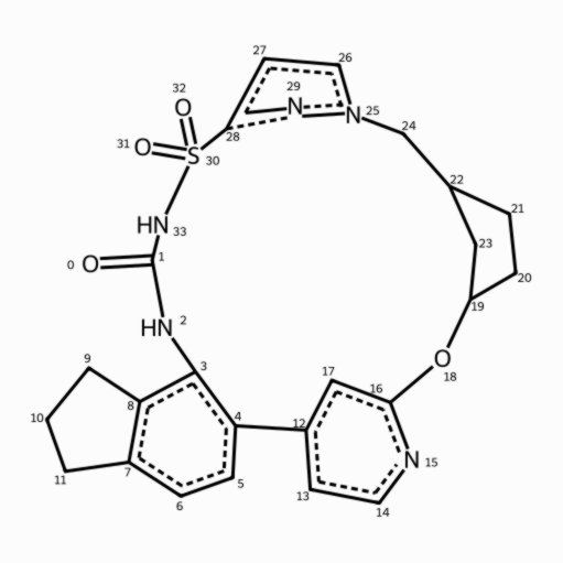 O=C1Nc2c(ccc3c2CCC3)-c2ccnc(c2)OC2CCC(C2)Cn2ccc(n2)S(=O)(=O)N1